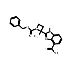 CC1(c2nc3c(C(N)=O)cccc3[nH]2)CCN1C(=O)OCc1ccccc1